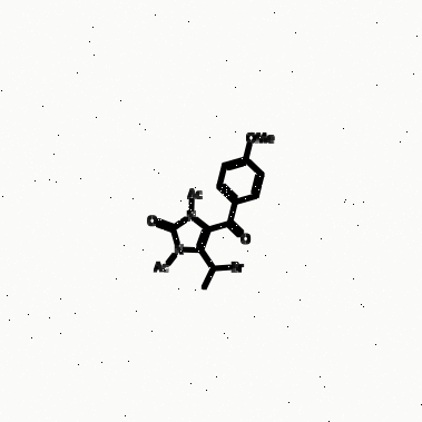 COc1ccc(C(=O)c2c(C(C)Br)n(C(C)=O)c(=O)n2C(C)=O)cc1